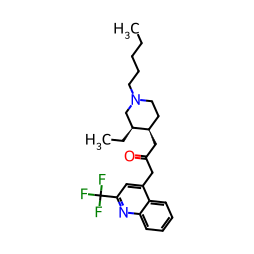 CCCCCN1CC[C@@H](CC(=O)Cc2cc(C(F)(F)F)nc3ccccc23)[C@@H](CC)C1